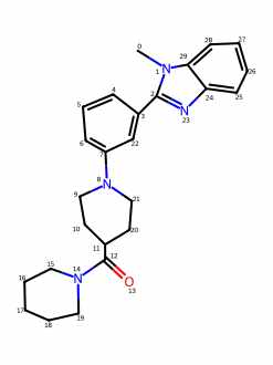 Cn1c(-c2cccc(N3CCC(C(=O)N4CCCCC4)CC3)c2)nc2ccccc21